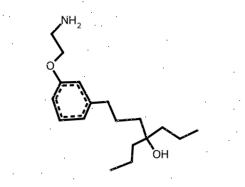 CCCC(O)(CCC)CCCc1cccc(OCCN)c1